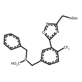 CCCCCCCCCCCc1noc(-c2cc(CN(Cc3ccccc3)C(=O)O)ccc2C(F)(F)F)n1